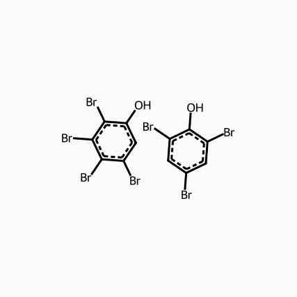 Oc1c(Br)cc(Br)cc1Br.Oc1cc(Br)c(Br)c(Br)c1Br